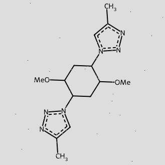 COC1CC(n2cc(C)nn2)C(OC)CC1n1cc(C)nn1